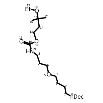 CCCCCCCCCCCCCCOCCCNC(=O)OCCC(C)(C)OCC